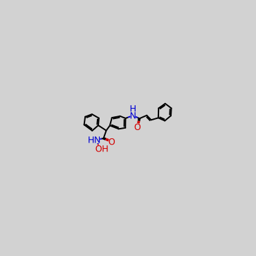 O=C(/C=C/c1ccccc1)Nc1ccc(C(C(=O)NO)c2ccccc2)cc1